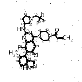 C=CC(=O)N1CCN(c2nc(NC3CCN(CC(F)(F)F)C3)nc3c(F)c(-c4c(C)ccc5[nH]ncc45)c(Cl)cc23)CC1